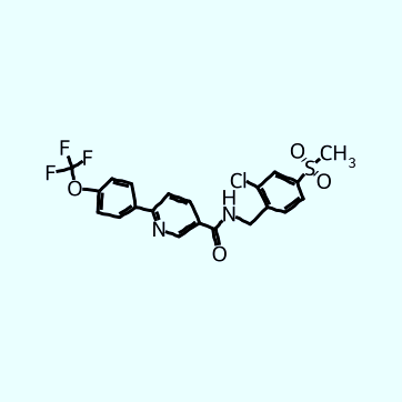 CS(=O)(=O)c1ccc(CNC(=O)c2ccc(-c3ccc(OC(F)(F)F)cc3)nc2)c(Cl)c1